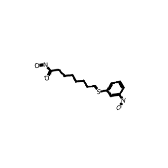 O=NC(=O)CCCCCCCSc1cccc(N=O)c1